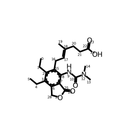 CCc1c(CC)c2c(c(NC(=O)N(C)C)c1C/C=C(\C)CCC(=O)O)C(=O)OC2